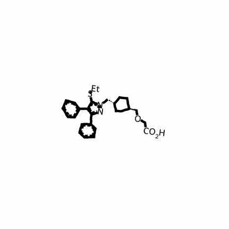 CCSc1c(-c2ccccc2)c(-c2ccccc2)nn1C[C@H]1CC[C@H](COCC(=O)O)CC1